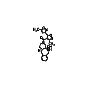 Cc1cc(-c2onc(C)c2C(=O)N2CC[C@@H]3Cc4ccccc4CN[C@]3(O)C2)no1